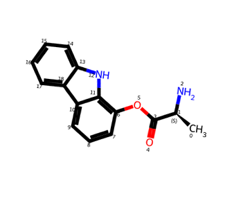 C[C@H](N)C(=O)Oc1cccc2c1[nH]c1ccccc12